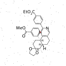 CCOC(=O)c1ccc(-c2ncc3c(n2)[C@]2(c4cccc(C(=O)OC)c4)CCC4(OCCO4)[C@@H](C)[C@H]2CC3)cc1